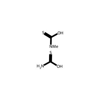 CNC(O)=S.NC(O)=S